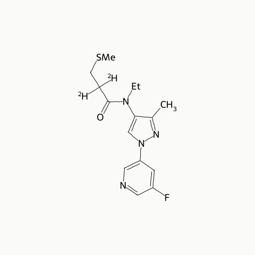 [2H]C([2H])(CSC)C(=O)N(CC)c1cn(-c2cncc(F)c2)nc1C